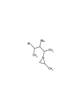 CC(C)C(C)C(C(C)N1CC1C)C(C)(C)C